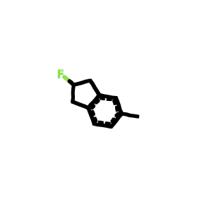 Cc1ccc2c(c1)CC(F)C2